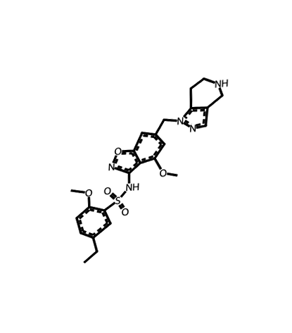 CCc1ccc(OC)c(S(=O)(=O)Nc2noc3cc(Cn4ncc5c4CCNC5)cc(OC)c23)c1